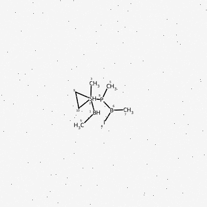 CB[SH]1(C)(P(C)B(C)I)CC1